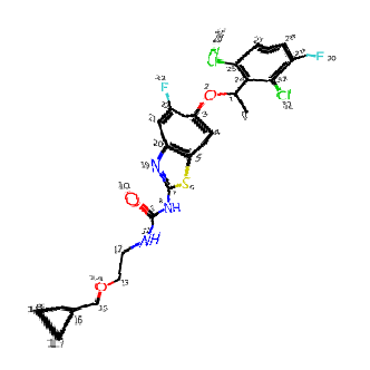 CC(Oc1cc2sc(NC(=O)NCCOCC3CC3)nc2cc1F)c1c(Cl)ccc(F)c1Cl